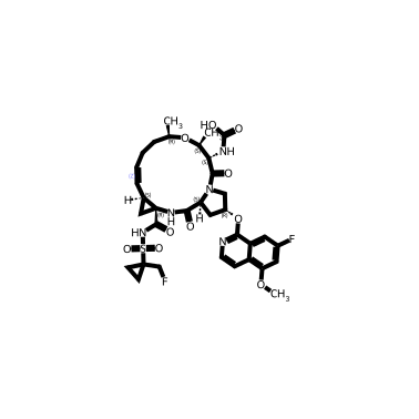 COc1cc(F)cc2c(O[C@@H]3C[C@H]4C(=O)N[C@]5(C(=O)NS(=O)(=O)C6(CF)CC6)C[C@H]5/C=C\CC[C@@H](C)O[C@@H](C)[C@H](NC(=O)O)C(=O)N4C3)nccc12